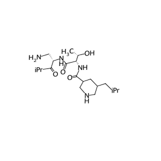 CC(C)CC1CNCC(C(=O)N[C@H](C(=O)N[C@@H](CN)C(=O)C(C)C)[C@H](C)O)C1